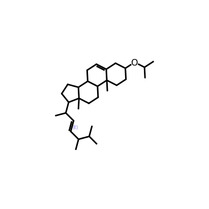 CC(C)OC1CCC2(C)C(=CCC3C2CCC2(C)C(C(C)/C=C/C(C)C(C)C)CCC32)C1